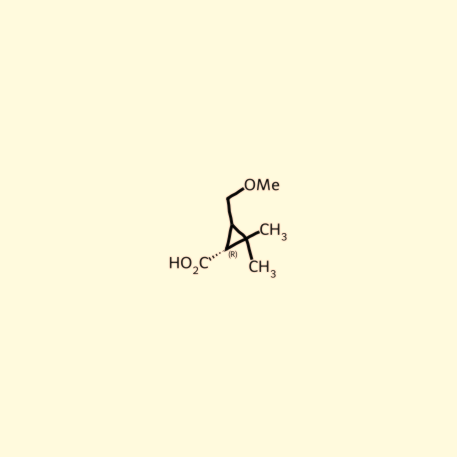 COCC1[C@@H](C(=O)O)C1(C)C